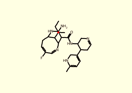 CCC(C)C1C2C/C=C(F)\C=N/C1C(C(=O)NC1CN=CCC1C1=CC=C(C)NC1)C(N)N2